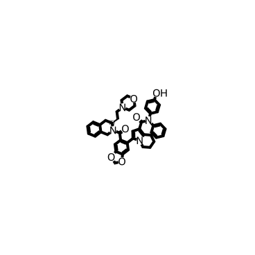 O=C(c1cc(-c2cc3c(cc2C(=O)N2Cc4ccccc4C[C@H]2CCN2CCOCC2)OCO3)n2c1CCCC2)N(c1ccccc1)c1ccc(O)cc1